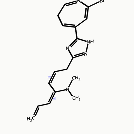 C=C/C=C(\C=C/Cc1n[nH]c(C2=CCC=NC(Br)=C2)n1)N(C)C